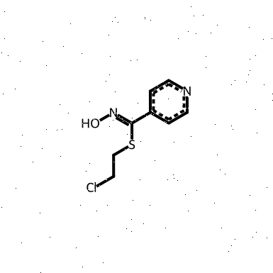 ON=C(SCCCl)c1ccncc1